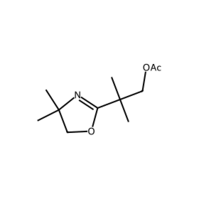 CC(=O)OCC(C)(C)C1=NC(C)(C)CO1